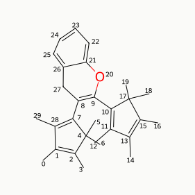 CC1=C(C)C(C)(C)C(C2=C(C3=C(C)C(C)=C(C)C3(C)C)Oc3ccccc3C2)=C1C